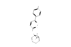 Fc1ccc(-c2ccc(O[C@H]3CN4CCC3CC4)nn2)cc1